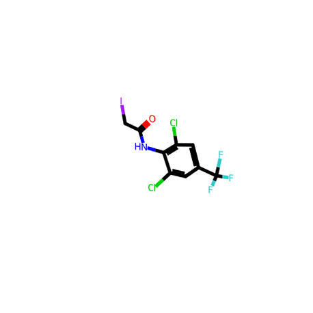 O=C(CI)Nc1c(Cl)cc(C(F)(F)F)cc1Cl